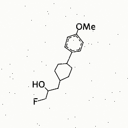 COc1ccc(C2CCC(CC(O)CF)CC2)cc1